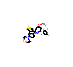 O=C(O)OC1=C(Sc2ccc(F)cc2Cl)C(=O)NC(c2ccc(N3CCOCC3)cc2)(c2ccsc2)C1